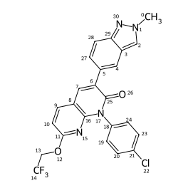 Cn1cc2cc(-c3cc4ccc(OCC(F)(F)F)nc4n(-c4ccc(Cl)cc4)c3=O)ccc2n1